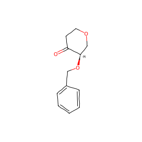 O=C1CCOC[C@H]1OCc1ccccc1